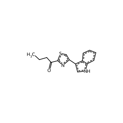 CCCC(=O)c1nc(-c2c[nH]c3ccccc23)cs1